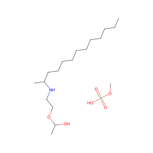 CCCCCCCCCCCC(C)NCCOC(C)O.COS(=O)(=O)O